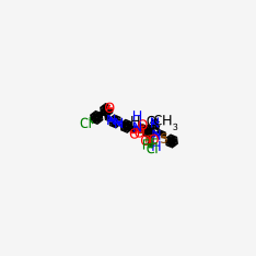 CN(C)CC[C@H](CSc1ccccc1)Nc1ccc(S(=O)(=O)NC(=O)c2ccc(N3CCN(CC4=C(c5ccc(Cl)cc5)CCOC4)CC3)cc2)cc1S(=O)(=O)C(F)(F)Cl